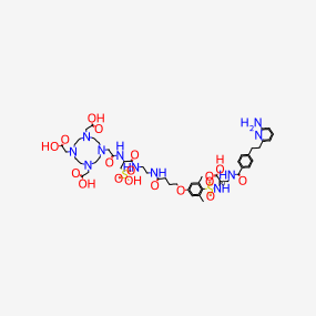 Cc1cc(OCCCC(=O)NCCNC(=O)C(CS(=O)(=O)O)NC(=O)CN2CCN(CC(=O)O)CCN(CC(=O)O)CCN(CC(=O)O)CC2)cc(C)c1S(=O)(=O)N[C@H](CNC(=O)c1ccc(CCc2cccc(N)n2)cc1)C(=O)O